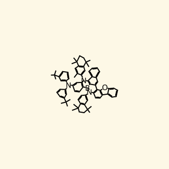 Cc1cc2c(cc1N1c3cc(N(c4cccc(C(C)(C)C)c4)c4cccc(C(C)(C)C)c4)ccc3B3c4c(cc5ccccc5c41)-c1c(ccc4c1oc1ccccc14)N3c1ccc3c(c1)C(C)(C)CCC3(C)C)C(C)(C)CCC2(C)C